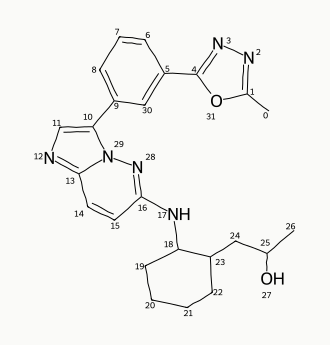 Cc1nnc(-c2cccc(-c3cnc4ccc(NC5CCCCC5CC(C)O)nn34)c2)o1